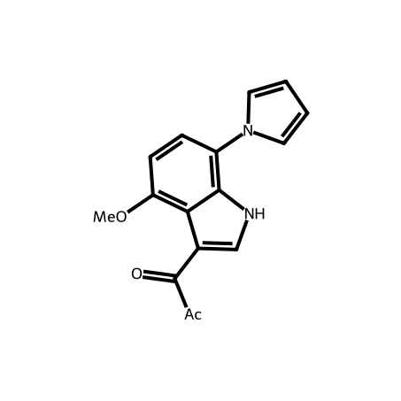 COc1ccc(-n2cccc2)c2[nH]cc(C(=O)C(C)=O)c12